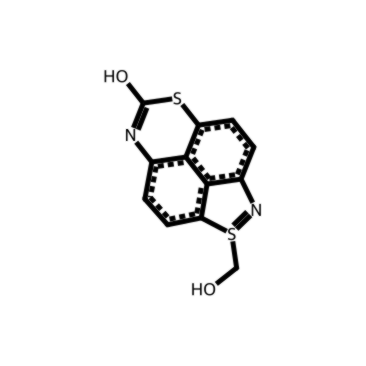 OCS1=Nc2ccc3c4c(ccc1c24)N=C(O)S3